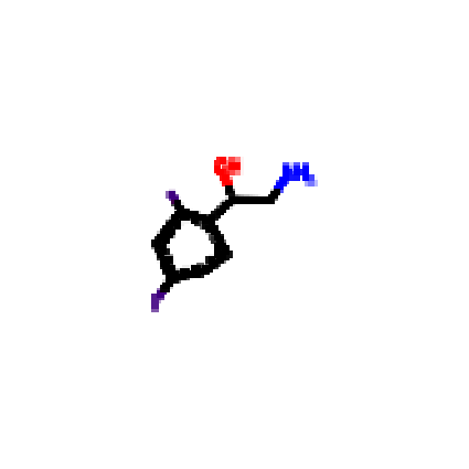 NC[C@H](O)c1ccc(I)cc1I